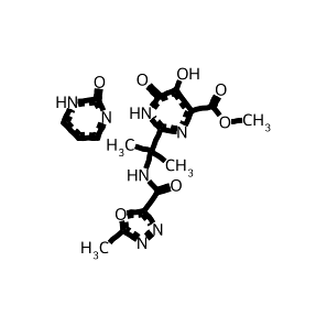 COC(=O)c1nc(C(C)(C)NC(=O)c2nnc(C)o2)[nH]c(=O)c1O.O=c1nccc[nH]1